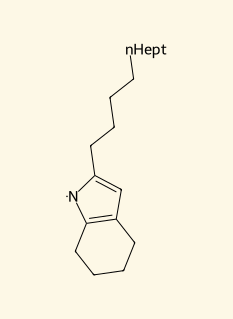 CCCCCCCCCCCC1=CC2=C(CCCC2)[N]1